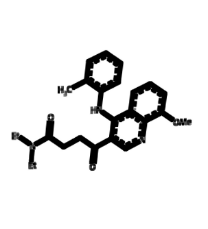 CCN(CC)C(=O)CCC(=O)c1cnc2c(OC)cccc2c1Nc1ccccc1C